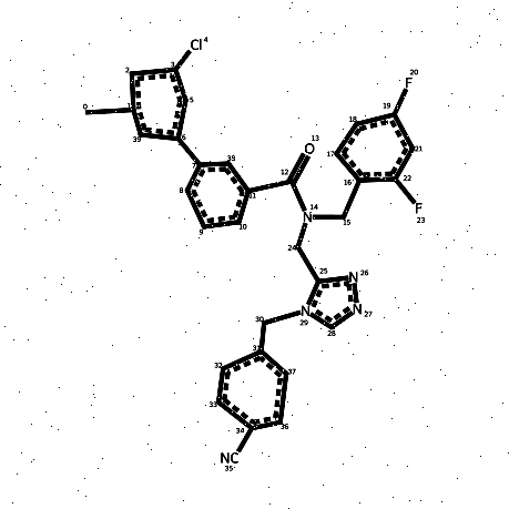 Cc1cc(Cl)cc(-c2cccc(C(=O)N(Cc3ccc(F)cc3F)Cc3nncn3Cc3ccc(C#N)cc3)c2)c1